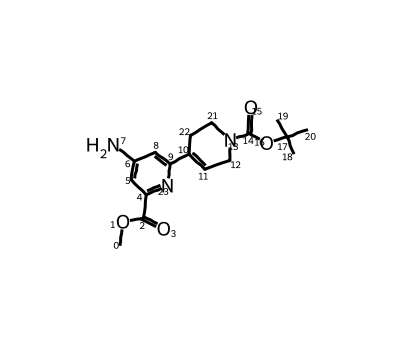 COC(=O)c1cc(N)cc(C2=CCN(C(=O)OC(C)(C)C)CC2)n1